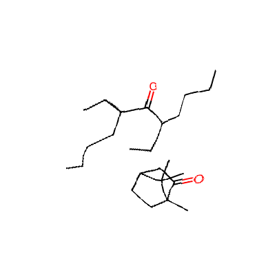 CC12CCC(CC1=O)C2(C)C.CCCCC(CC)C(=O)C(CC)CCCC